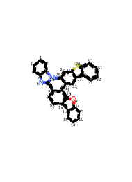 c1ccc2c(c1)nc1c3ccc4c5ccccc5oc4c3c3cc4c(cc3n21)sc1ccccc14